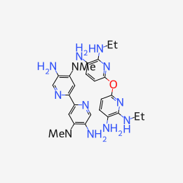 CCNc1nc(Oc2ccc(N)c(NCC)n2)ccc1N.CNc1cc(-c2cc(NC)c(N)cn2)ncc1N